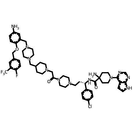 Nc1ccc(OCc2ccc(F)c(C(F)(F)F)c2)c(CN2CCN(CC3CCN(CC(=O)N4CCN(CC[C@H](NC(=O)C5(N)CCN(c6ncnc7[nH]ccc67)CC5)c5ccc(Cl)cc5)CC4)CC3)CC2)c1